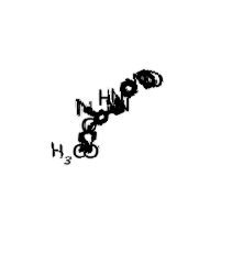 CC(=O)N1CCC(Oc2ccc(-c3ccnc(Nc4ccc(N5CCOCC5)cc4)n3)cc2C#N)CC1